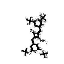 CC(C)(C)SC1=CC(=CC2=C(N)/C(=C/c3cc(C(C)(C)C)[s+]c(C(C)(C)C)c3)C2=O)C=C(SC(C)(C)C)O1